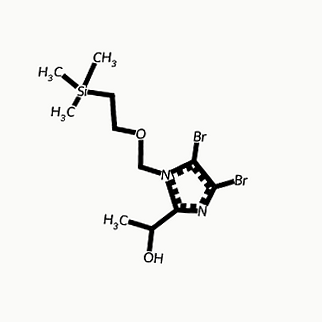 CC(O)c1nc(Br)c(Br)n1COCC[Si](C)(C)C